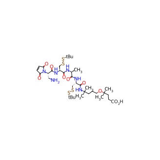 C[C@H](NC(=O)[C@H](CSSC(C)(C)C)NC(=O)[C@H](CN)N1C(=O)C=CC1=O)C(=O)N[C@@H](CSSC(C)(C)C)C(=O)NC(C)(C)CCCOC(C)(C)CCC(=O)O